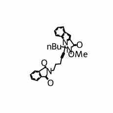 CCCCC1(C#CCCCN2C(=O)c3ccccc3C2=O)N(OC)C(=O)c2cc3ccccc3n21